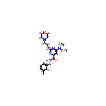 CCCN(CCC)c1cc(C(=O)NNc2cccc(C)c2)nc(OCCN2CCOCC2)n1